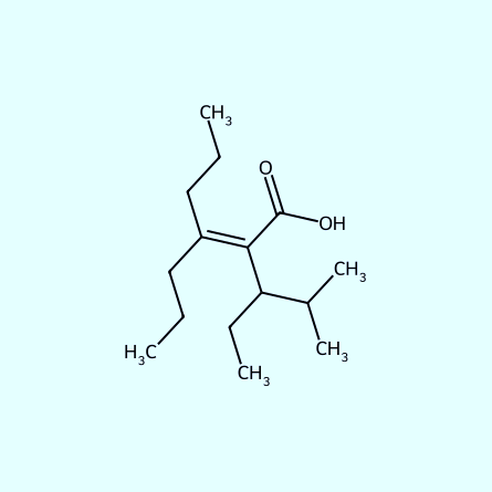 CCCC(CCC)=C(C(=O)O)C(CC)C(C)C